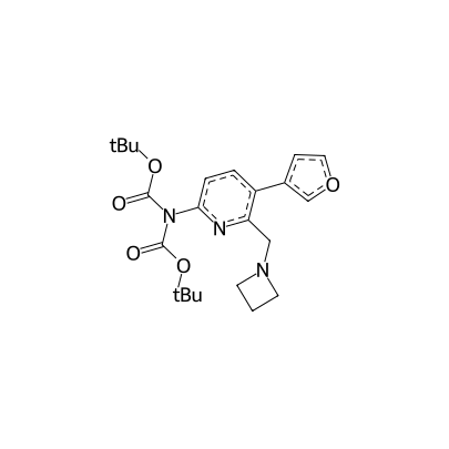 CC(C)(C)OC(=O)N(C(=O)OC(C)(C)C)c1ccc(-c2ccoc2)c(CN2CCC2)n1